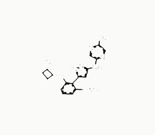 COc1cccc(O[C@@H]2CC[C@@H]2N)c1-c1cc(Nc2cnc(C#N)cn2)n[nH]1